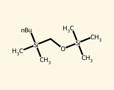 CCCC[Si](C)(C)CO[Si](C)(C)C